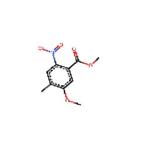 COC(=O)c1cc(OC)c(C)cc1[N+](=O)[O-]